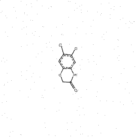 O=C1COc2cc(Cl)c(Cl)cc2N1